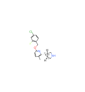 Cc1ccc(OCc2ccc(Cl)cc2F)nc1[C@@H]1[C@@H]2CNC[C@@H]21